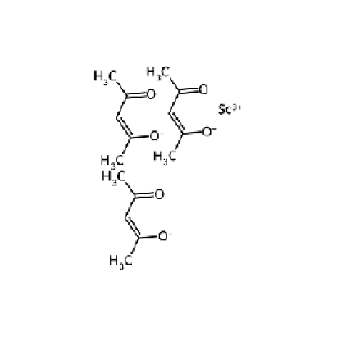 CC(=O)C=C(C)[O-].CC(=O)C=C(C)[O-].CC(=O)C=C(C)[O-].[Sc+3]